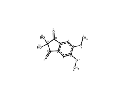 COc1cc2c(cc1OC)C(=O)C(O)(O)C2=O